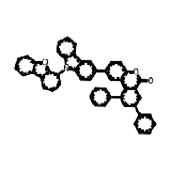 O=c1oc2ccc(-c3ccc4c(c3)c3ccccc3n4-c3cccc4c3oc3ccccc34)cc2c2c(-c3ccccc3)cc(-c3ccccc3)cc12